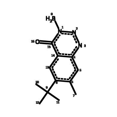 Bn1nnc2cc(C)c(C(C)(C)C)cc2c1=O